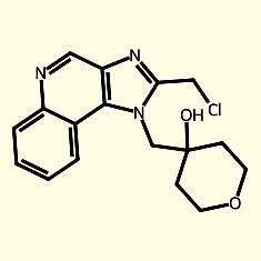 OC1(Cn2c(CCl)nc3cnc4ccccc4c32)CCOCC1